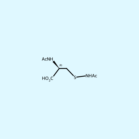 CC(=O)NSC[C@H](NC(C)=O)C(=O)O